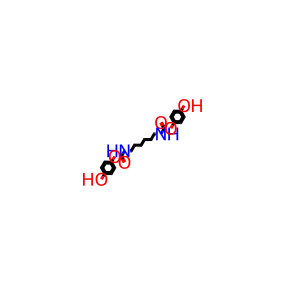 O=C(NCCCCCCNC(=O)Oc1ccc(O)cc1)Oc1ccc(O)cc1